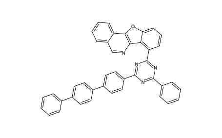 c1ccc(-c2ccc(-c3ccc(-c4nc(-c5ccccc5)nc(-c5cccc6oc7c8ccccc8cnc7c56)n4)cc3)cc2)cc1